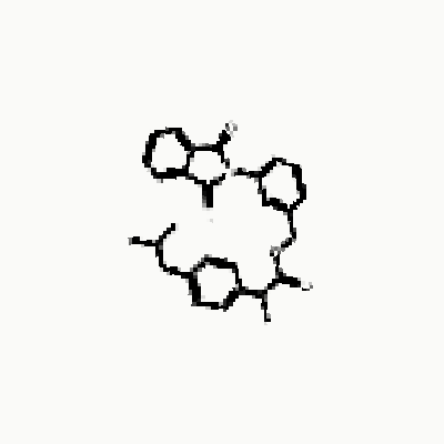 CC(C)Cc1ccc(C(C)C(=O)OCc2cccc(N3C(=O)c4ccccc4C3=O)c2)cc1